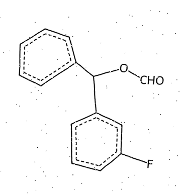 O=COC(c1ccccc1)c1cccc(F)c1